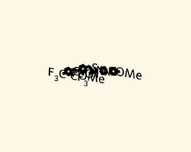 COc1ccc(N2CCN(C3=NC(=O)/C(=C\c4ccc(OCc5ccc(C(F)(F)F)cc5C(F)(F)F)c(OC)c4)S3)CC2)cc1